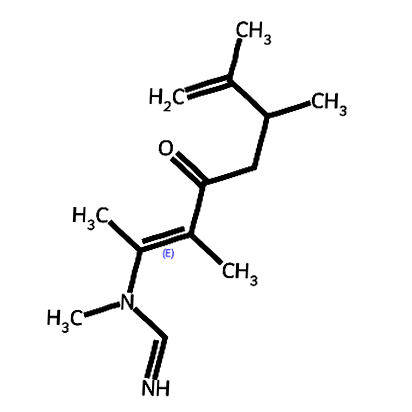 C=C(C)C(C)CC(=O)/C(C)=C(\C)N(C)C=N